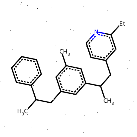 CCc1cc(CC(C)c2cc(C)cc(CC(C)c3ccccc3)c2)ccn1